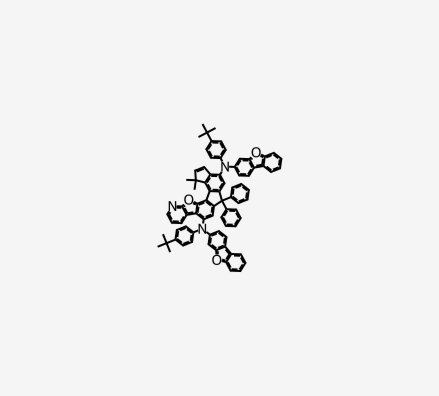 CC(C)(C)c1ccc(N(c2ccc3c(c2)oc2ccccc23)c2cc3c(c4c2C=CC4(C)C)-c2c(cc(N(c4ccc(C(C)(C)C)cc4)c4ccc5c(c4)oc4ccccc45)c4c2oc2ncccc24)C3(c2ccccc2)c2ccccc2)cc1